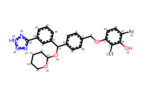 CCc1c(OCc2ccc(C(OC3CCCCO3)c3cccc(-c4nn[nH]n4)c3)cc2)ccc(C(C)=O)c1O